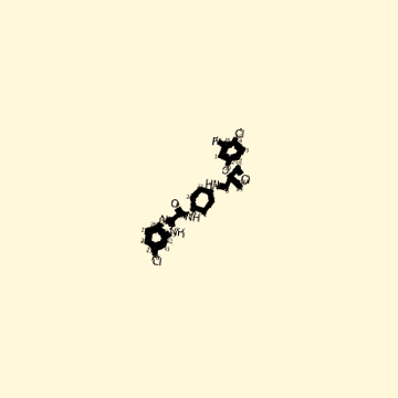 O=C(NC1CCC(NCC2(Oc3ccc(Cl)c(F)c3)COC2)CC1)c1nc2ccc(Cl)cc2[nH]1